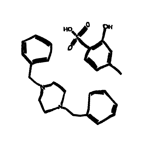 Cc1ccc(S(=O)(=O)O)c(O)c1.c1ccc(CN2CCN(Cc3ccccc3)CC2)cc1